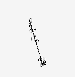 CC(=O)COCCOCCNC(=O)COCCOCCNC(=O)CCCCCCCCCCCCCCCNC(=O)CCN1C(=O)CC(C)C1=O